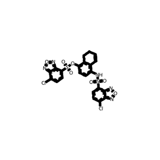 O=S(=O)(Nc1ccc(OS(=O)(=O)c2ccc(Cl)c3nonc23)c2c1C=CCC2)c1ccc(Cl)c2nonc12